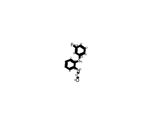 O=C=Nc1ccccc1Sc1cccc(F)c1